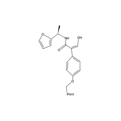 CCCC(C)COc1ccc(C(=CO)C(=O)N[C@H](C)c2ccco2)cc1